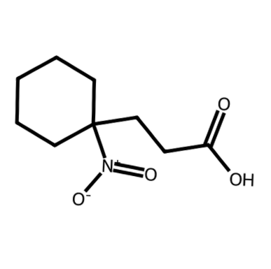 O=C(O)CCC1([N+](=O)[O-])CCCCC1